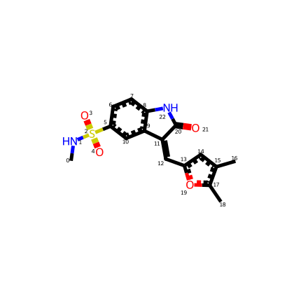 CNS(=O)(=O)c1ccc2c(c1)C(=Cc1cc(C)c(C)o1)C(=O)N2